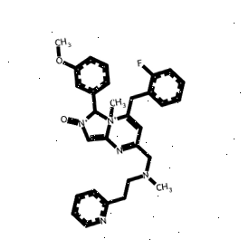 COc1cccc(C2[N+](=O)C=C3N=C(CN(C)CCc4ccccn4)C=C(Cc4ccccc4F)[N+]32C)c1